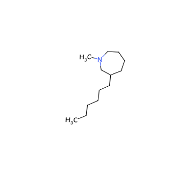 CCCCCCC1CCCCN(C)C1